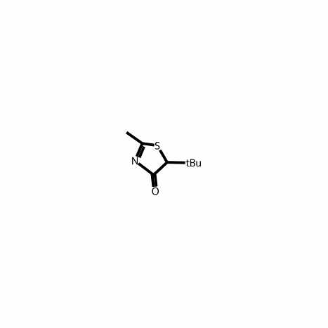 CC1=NC(=O)C(C(C)(C)C)S1